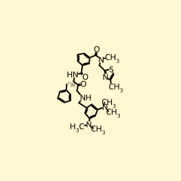 Cc1csc(CN(C)C(=O)c2cccc(C(=O)N[C@@H](Cc3ccccc3)C(=O)CNCc3cc(N(C)C)cc(N(C)C)c3)c2)n1